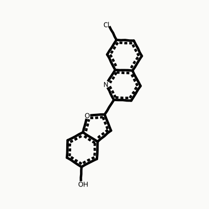 Oc1ccc2oc(-c3ccc4ccc(Cl)cc4n3)cc2c1